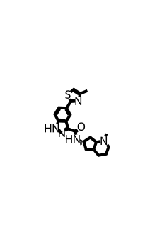 Cc1csc(-c2ccc3[nH]nc(C(=O)N[C@@H]4CC5CCCN(C)C5C4)c3c2)n1